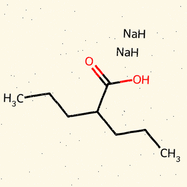 CCCC(CCC)C(=O)O.[NaH].[NaH]